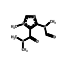 CN(C)C(=O)c1c(N(C)C=O)ncn1C